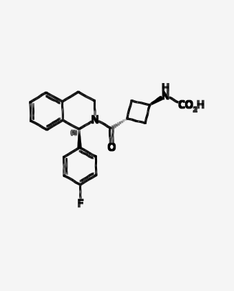 O=C(O)N[C@H]1C[C@H](C(=O)N2CCc3ccccc3[C@@H]2c2ccc(F)cc2)C1